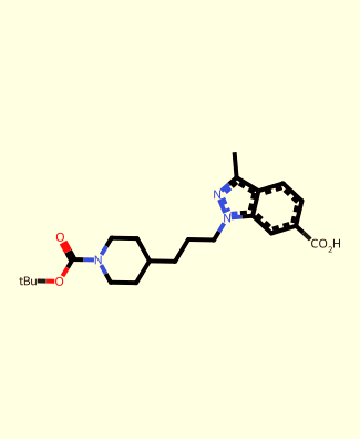 Cc1nn(CCCC2CCN(C(=O)OC(C)(C)C)CC2)c2cc(C(=O)O)ccc12